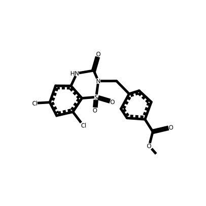 COC(=O)c1ccc(CN2C(=O)Nc3cc(Cl)cc(Cl)c3S2(=O)=O)cc1